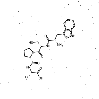 C[C@H](NC(=O)[C@@H]1CCCN1C(=O)[C@H](CS)NC(=O)[C@@H](N)Cc1c[nH]c2ccccc12)C(=O)O